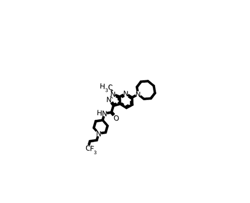 Cn1nc(C(=O)NC2CCN(CCC(F)(F)F)CC2)c2ccc(N3CCCCCCC3)nc21